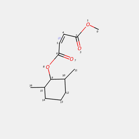 COC(=O)/C=C\C(=O)OC1C(C)CCCC1C